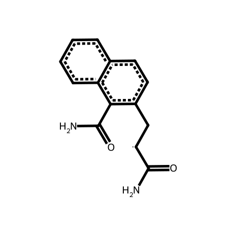 NC(=O)[CH]Cc1ccc2ccccc2c1C(N)=O